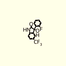 O=C1Nc2ccc(C(F)(F)F)cc2C1(O)c1ccccc1F